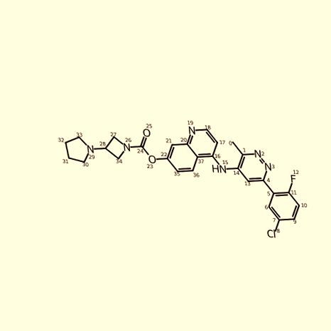 Cc1nnc(-c2cc(Cl)ccc2F)cc1Nc1ccnc2cc(OC(=O)N3CC(N4CCCC4)C3)ccc12